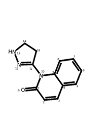 O=c1ccc2ccccc2n1C1=NNCC1